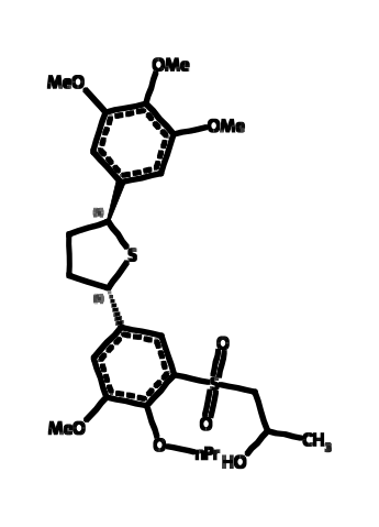 CCCOc1c(OC)cc([C@@H]2CC[C@@H](c3cc(OC)c(OC)c(OC)c3)S2)cc1S(=O)(=O)CC(C)O